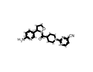 N#Cc1ccnc(N2CCC(C(=O)N3OCCC3c3ccc(N)nc3)CC2)n1